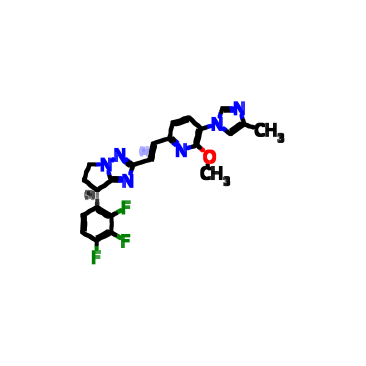 COc1nc(/C=C/c2nc3n(n2)CC[C@H]3c2ccc(F)c(F)c2F)ccc1-n1cnc(C)c1